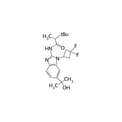 CC(C(=O)Nc1nc2ccc(C(C)(C)O)cc2n1C1CC(F)(F)C1)C(C)(C)C